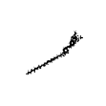 CCCCCCCCCCCCCCCCCCCCCCOc1ccc(C=Cc2ccc(S(=O)(=O)C(O)CCC)cc2)cc1